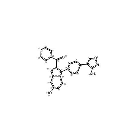 Nc1nocc1-c1ccc(-c2c(C(=O)c3ccccc3)sc3cc(O)ccc23)cc1